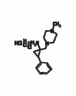 CN1CCN(CC2(N)CC2c2ccccc2)CC1.Cl.Cl.Cl